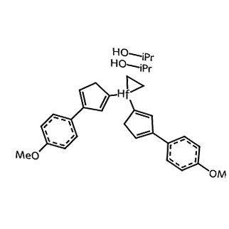 CC(C)O.CC(C)O.COc1ccc(C2=CC[C]([Hf]3([C]4=CC(c5ccc(OC)cc5)=CC4)[CH2][CH2]3)=C2)cc1